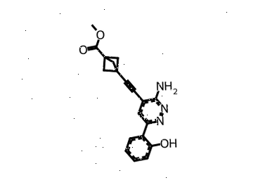 COC(=O)C12CC(C#Cc3cc(-c4ccccc4O)nnc3N)(C1)C2